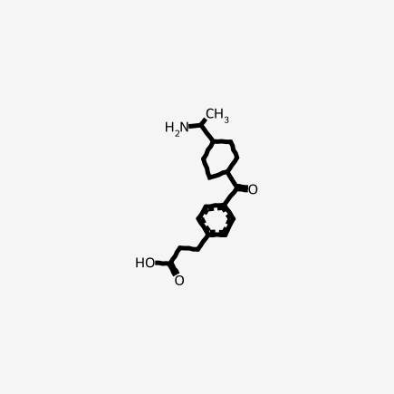 CC(N)C1CCC(C(=O)c2ccc(CCC(=O)O)cc2)CC1